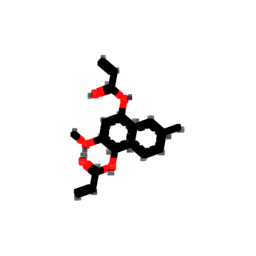 C=CC(=O)Oc1cc(OC)c(OC(=O)C=C)c2ccc(C)cc12